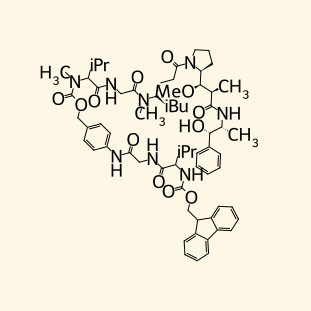 CC[C@H](C)[C@@H](CCC(=O)N1CCC[C@H]1[C@H](OC)[C@@H](C)C(=O)N[C@H](C)[C@@H](O)c1ccccc1)N(C)C(=O)CNC(=O)C(C(C)C)N(C)C(=O)OCc1ccc(NC(=O)CNC(=O)C(NC(=O)OCC2c3ccccc3-c3ccccc32)C(C)C)cc1